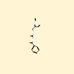 C=C/N=C(\C=C)CNC(=S)NC(=O)c1ccc(C)cc1